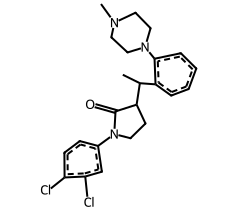 CC(c1ccccc1N1CCN(C)CC1)C1CCN(c2ccc(Cl)c(Cl)c2)C1=O